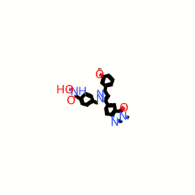 COc1cccc(-c2cc(-c3ccc4ncn(C)c(=O)c4c3)n(Cc3ccc(C(=O)NO)cc3)n2)c1